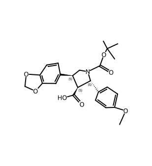 COc1ccc([C@@H]2[C@@H](C(=O)O)[C@@H](c3ccc4c(c3)OCO4)CN2C(=O)OC(C)(C)C)cc1